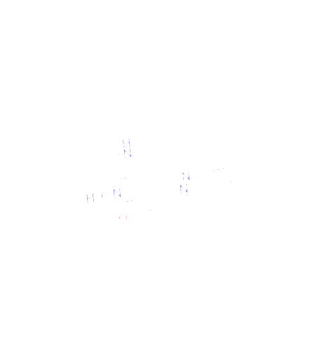 CN(C(=O)c1ccc(-n2cc3ccccc3n2)cc1)C1CCNCC1